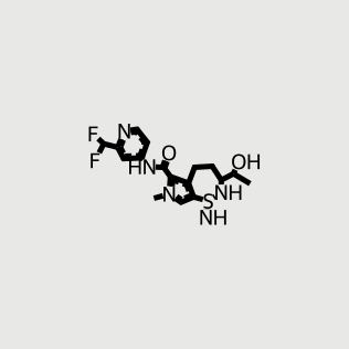 CC(O)C1CCc2c(cn(C)c2C(=O)Nc2ccnc(C(F)F)c2)S(=N)N1